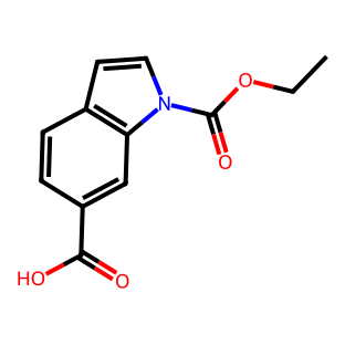 CCOC(=O)n1ccc2ccc(C(=O)O)cc21